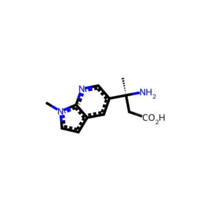 Cn1ccc2cc([C@@](C)(N)CC(=O)O)cnc21